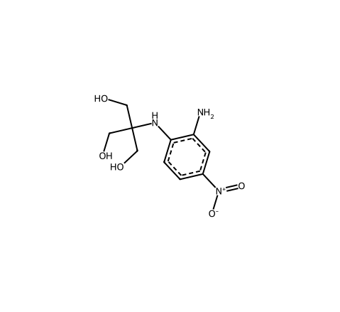 Nc1cc([N+](=O)[O-])ccc1NC(CO)(CO)CO